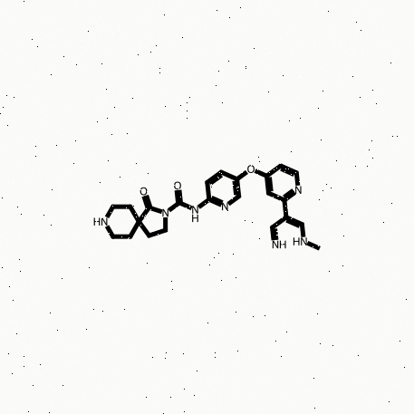 CN/C=C(\C=N)c1cc(Oc2ccc(NC(=O)N3CCC4(CCNCC4)C3=O)nc2)ccn1